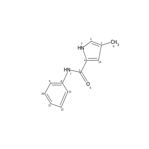 Cc1c[nH]c(C(=O)Nc2ccccc2)c1